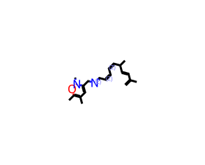 C=C(C)C=CC(C)\C=C/C=C\C=N\CC1=CC(C)=C(C)ON1C